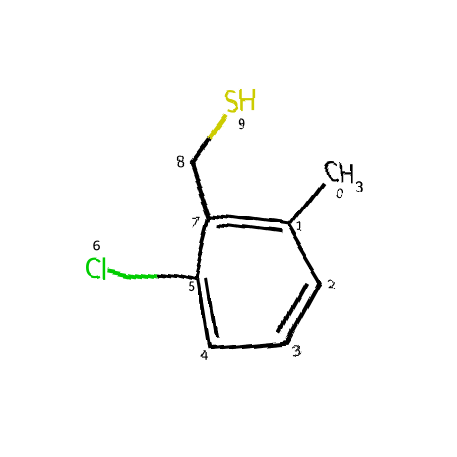 Cc1cccc(Cl)c1CS